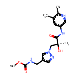 CC(C)(C)OC(=O)NCc1cnn(C[C@](C)(O)C(=O)Nc2cnc(C#N)c(C(F)(F)F)c2)c1